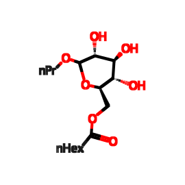 CCCCCCC(=O)OC[C@H]1OC(OCCC)[C@H](O)[C@@H](O)[C@@H]1O